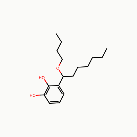 CCCCCCC(OCCCC)c1cccc(O)c1O